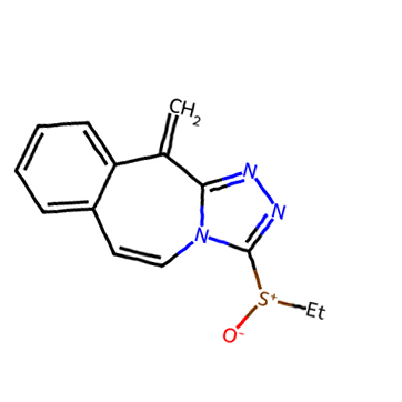 C=C1c2ccccc2C=Cn2c1nnc2[S+]([O-])CC